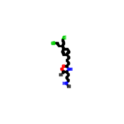 CCNCCCC(NC(=O)CCCc1ccc(C(CCCl)CCCl)cc1)C(=O)CC